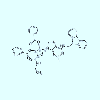 CCNC(=O)[C@H]1O[C@@H](n2cnc3c(NCC4c5ccccc5-c5ccccc54)nc(I)nc32)[C@H](OC(=O)c2ccccc2)[C@@H]1OC(=O)c1ccccc1